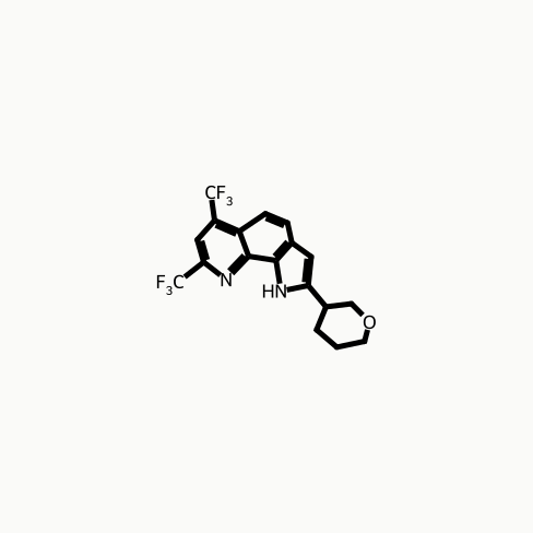 FC(F)(F)c1cc(C(F)(F)F)c2ccc3cc(C4CCCOC4)[nH]c3c2n1